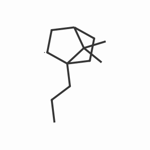 CCCC12[CH]CC(CC1)C2(C)C